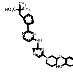 CC(C)(Cc1cccc(-c2nccc(Nc3cncc(N4CCCC(OC5=C(O)CCC=C5)C4)n3)n2)c1)C(=O)O